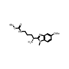 COc1ccc2c(c1)nc([C@@H](N)CCCNC(=O)OC(C)(C)C)n2C